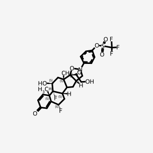 C[C@]12C=CC(=O)C=C1[C@@H](F)C[C@H]1C3C[C@H]4CN(c5ccc(OS(=O)(=O)C(F)(F)F)cc5)O[C@@]4(C(=O)CO)[C@@]3(C)C[C@H](O)[C@@]12F